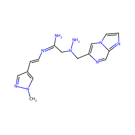 Cn1cc(/C=C/N=C(/N)CN(N)Cc2cn3ccnc3cn2)cn1